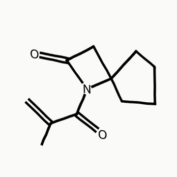 C=C(C)C(=O)N1C(=O)CC12CCCC2